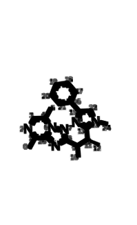 Cc1ncc(C)n2nc(C(C)[C@H](C)c3nc(-c4ccccc4)cn3C)nc12